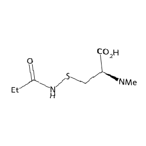 CCC(=O)NSC[C@H](NC)C(=O)O